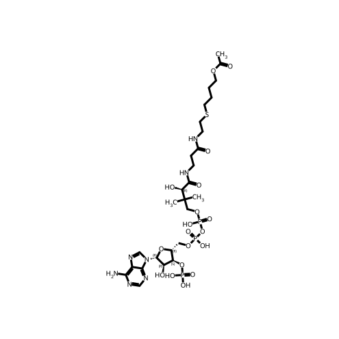 CC(=O)OCCCCSCCNC(=O)CCNC(=O)[C@H](O)C(C)(C)COP(=O)(O)OP(=O)(O)OC[C@H]1O[C@@H](n2cnc3c(N)ncnc32)[C@H](O)[C@@H]1OP(=O)(O)O